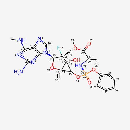 CNc1nc(N)nc2c1ncn2[C@@H]1O[C@@H]2C(O[P@](=O)(N[C@H](C)C(=O)OC)Oc3ccccc3)[C@]2(O)[C@@]1(C)F